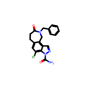 NC(=O)n1ncc2c3c(cc(Cl)c21)C[CH]C(=O)N(Cc1ccccc1)C3